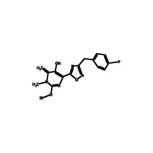 C=C1C(O)=C(c2nc(Cc3ccc(F)cc3)no2)N=C(OCC)N1C